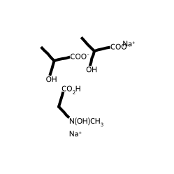 CC(O)C(=O)[O-].CC(O)C(=O)[O-].CN(O)CC(=O)O.[Na+].[Na+]